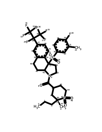 CCC[C@]1(C)CC(C(=O)N2CCC3(S(=O)(=O)c4ccc(F)c(C)c4)c4ccc(C(F)(C(F)(F)F)C(F)(F)F)cc4CCC23)CCS1(=O)=O